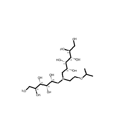 CC(C)OCCN(C[C@@H](O)[C@H](O)[C@@H](O)[C@@H](O)CO)C[C@@H](O)[C@H](O)[C@@H](O)[C@@H](O)CO